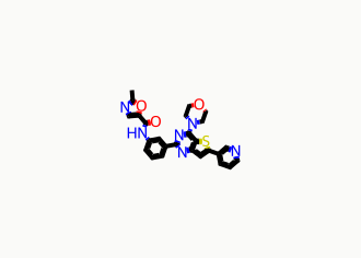 Cc1ncc(C(=O)Nc2cccc(-c3nc(N4CCOCC4)c4sc(-c5cccnc5)cc4n3)c2)o1